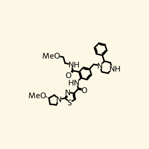 COCCNC(=O)c1cc(CN2CCNCC2c2ccccc2)ccc1NC(=O)c1csc(N2CC[C@H](OC)C2)n1